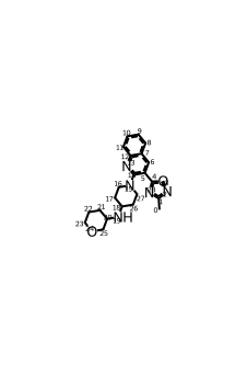 Cc1noc(-c2cc3ccccc3nc2N2CCC(NC3CCCOC3)CC2)n1